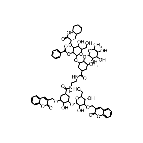 CC1CC(C(=O)NCCNC(=O)C2CC(OCc3cc4ccccc4oc3=O)C(O)[C@H](O[C@@H]3OC(CO)[C@H](O)C(OCc4cc5ccccc5oc4=O)C3O)C2)C[C@@H](O[C@@H]2OC(CO)[C@H](O)C(O[C@@H](CC3CCCCC3)C(=O)O)C2OC(=O)c2ccccc2)C1O[C@@H]1OC(C)[C@@H](O)C(O)C1O